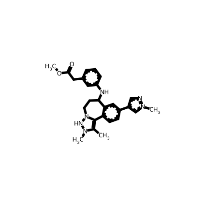 COC(=O)Cc1cccc(NC2CCN3NN(C)C(C)=C3c3ccc(-c4cnn(C)c4)cc32)c1